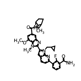 COc1cc(C(=O)N2CC3CCC2[C@@H]3C)cc2nc(-c3cc4ccc(-c5cccc(C(N)=O)c5F)nc4n3CC3CC3)n(C)c12